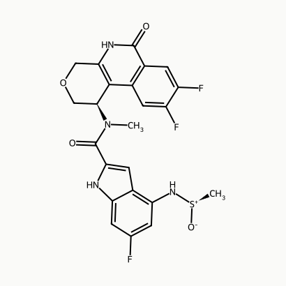 CN(C(=O)c1cc2c(N[S@@+](C)[O-])cc(F)cc2[nH]1)[C@H]1COCc2[nH]c(=O)c3cc(F)c(F)cc3c21